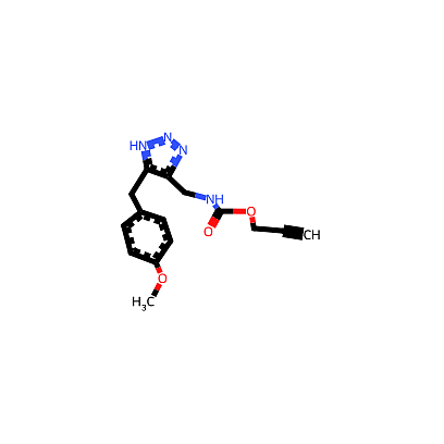 C#CCOC(=O)NCc1nn[nH]c1Cc1ccc(OC)cc1